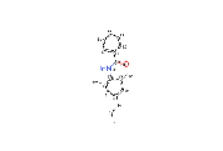 CCCc1cc(C)c(NC(=O)c2ccccc2)c(C)c1